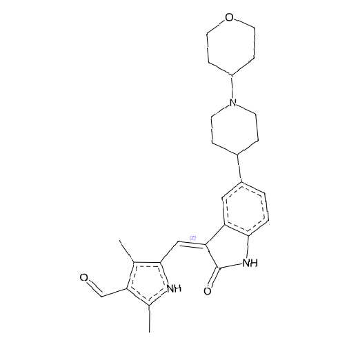 Cc1[nH]c(/C=C2\C(=O)Nc3ccc(C4CCN(C5CCOCC5)CC4)cc32)c(C)c1C=O